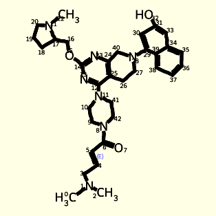 CN(C)C/C=C/C(=O)N1CCN(c2nc(OCC3CCCN3C)nc3c2CCN(c2cc(O)cc4ccccc24)C3)CC1